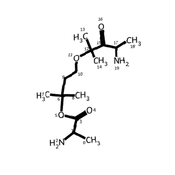 CC(N)C(=O)OC(C)(C)CCOC(C)(C)C(=O)C(C)N